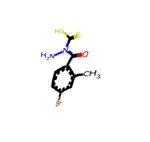 Cc1cc(Br)ccc1C(=O)N(N)C(=S)S